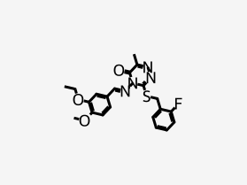 CCOc1cc(/C=N/n2c(SCc3ccccc3F)nnc(C)c2=O)ccc1OC